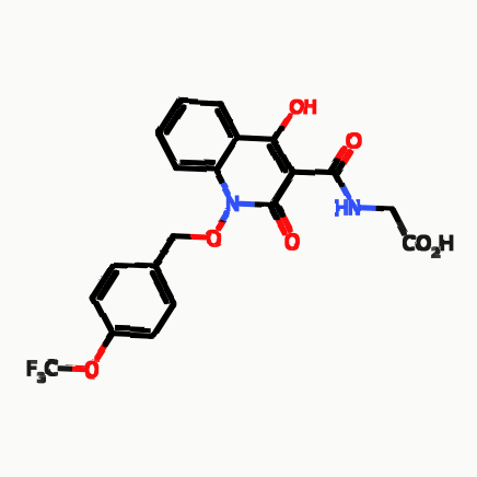 O=C(O)CNC(=O)c1c(O)c2ccccc2n(OCc2ccc(OC(F)(F)F)cc2)c1=O